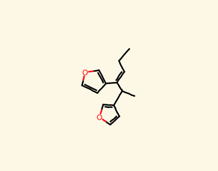 CCC=C([C](C)c1ccoc1)c1ccoc1